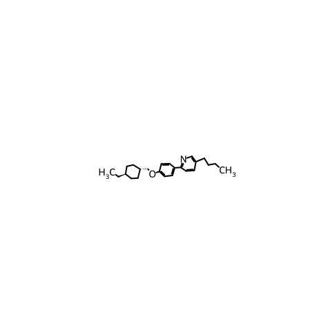 CCCCc1ccc(-c2ccc(OC[C@H]3CC[C@H](CC)CC3)cc2)nc1